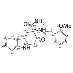 COc1ccccc1CC(=O)NC1(C(N)=O)C=C2c3ccccc3NC2CC1